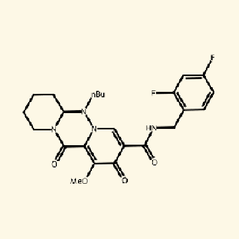 CCCCN1C2CCCCN2C(=O)c2c(OC)c(=O)c(C(=O)NCc3ccc(F)cc3F)cn21